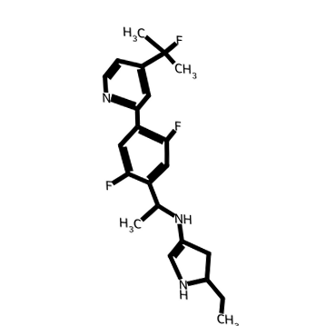 CCC1CC(NC(C)c2cc(F)c(-c3cc(C(C)(C)F)ccn3)cc2F)=CN1